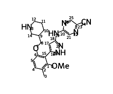 COc1c(C)ccc(OCC2CCCNC2)c1-c1cc(Nc2cnc(C#N)cn2)n[nH]1